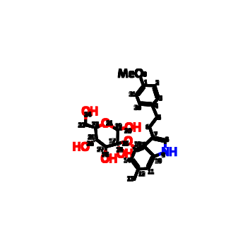 COc1ccc(CCc2c[nH]c3cc(C)cc(O[C@]4(O)[C@H](O)O[C@H](CO)[C@@H](O)[C@@H]4O)c23)cc1